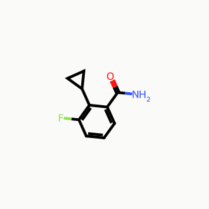 NC(=O)c1cccc(F)c1C1CC1